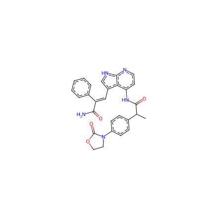 CC(C(=O)Nc1ccnc2[nH]cc(C=C(C(N)=O)c3ccccc3)c12)c1ccc(N2CCOC2=O)cc1